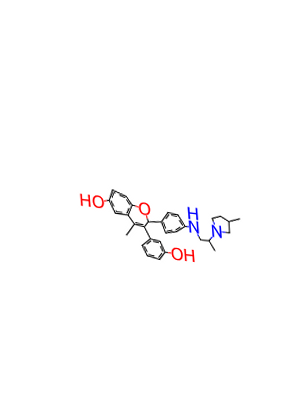 CC1=C(c2cccc(O)c2)C(c2ccc(NCC(C)N3CCC(C)C3)cc2)Oc2ccc(O)cc21